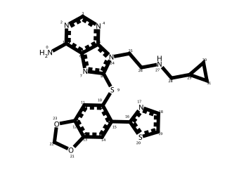 Nc1ncnc2c1nc(Sc1cc3c(cc1-c1nccs1)OCO3)n2CCNCC1CC1